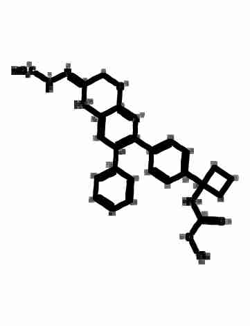 CCOC(=O)N/N=C1/COc2nc(-c3ccc(C4(NC(=O)OC(C)(C)C)CCC4)cc3)c(-c3ccccc3)cc2N1